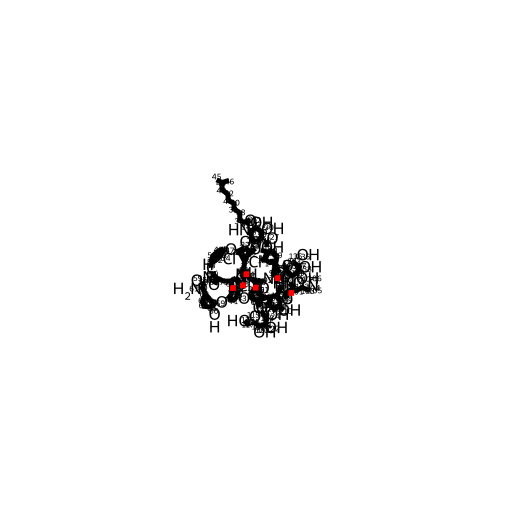 CC(=O)N[C@H]1[C@H](O[C@@H]2c3ccc(c(Cl)c3)Oc3cc4cc(c3O[C@@H]3O[C@H](C(=O)O)[C@@H](O)[C@H](O)[C@H]3NC(=O)CCCCCCCC(C)C)Oc3ccc(cc3Cl)C[C@H]3NC(=O)[C@H](N)c5ccc(O)c(c5)Oc5cc(O)c(Cl)c(c5)[C@H](CC3=O)C(=O)N[C@H]4C(=O)C[C@H]3C(=O)N[C@@H]2C(=O)N[C@@H](C(=O)CCCCN(C)C)c2cc(O)cc(O[C@H]4O[C@H](CO)[C@@H](O)[C@H](O)[C@@H]4O)c2-c2cc3ccc2O)O[C@H](CO)[C@@H](O)[C@@H]1O